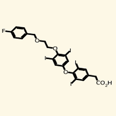 O=C(O)Cc1cc(I)c(Oc2cc(I)c(OCCOCc3ccc(F)cc3)c(I)c2)c(I)c1